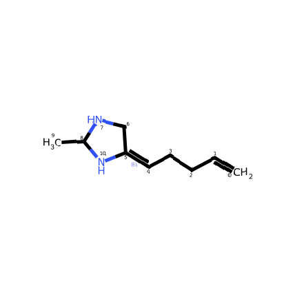 C=CCC/C=C1\CNC(C)N1